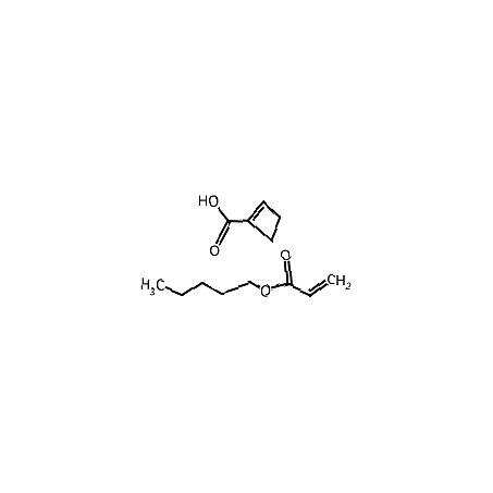 C=CC(=O)OCCCCC.O=C(O)C1=CCC1